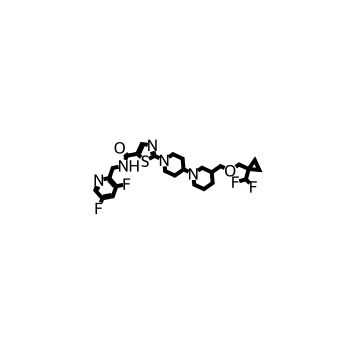 O=C(NCc1ncc(F)cc1F)c1cnc(N2CCC(N3CCCC(COCC4(C(F)F)CC4)C3)CC2)s1